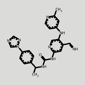 Cc1cc(Nc2cnc(NC(=O)NC(C)c3ccc(-n4cncn4)cc3)cc2C=N)ccn1